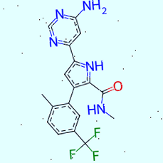 CNC(=O)c1[nH]c(-c2cc(N)ncn2)cc1-c1cc(C(F)(F)F)ccc1C